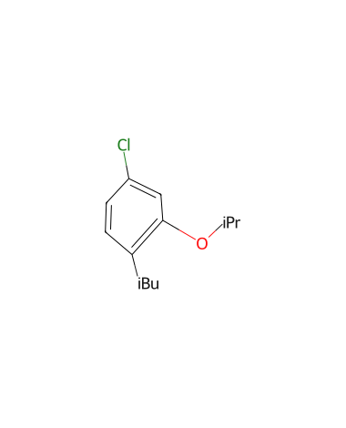 CCC(C)c1ccc(Cl)cc1OC(C)C